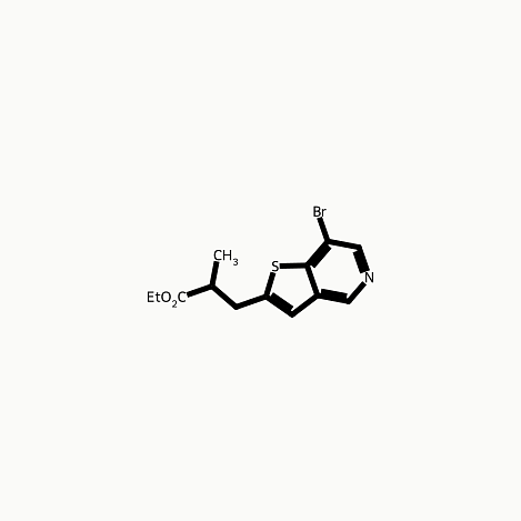 CCOC(=O)C(C)Cc1cc2cncc(Br)c2s1